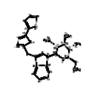 CC(=O)OC[C@H]1O[C@@H](n2cc(Cc3ncc(-c4ccco4)s3)c3ccccc32)[C@H](OC(C)=O)[C@@H](OC(C)=O)[C@@H]1OC(C)=O